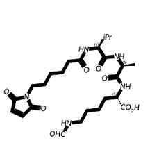 CC(C)[C@H](NC(=O)CCCCCN1C(=O)C=CC1=O)C(=O)N[C@@H](C)C(=O)N[C@@H](CCCCNC=O)C(=O)O